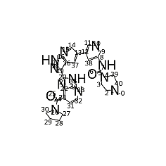 CN1CCN(C(=O)Nc2cncc(-c3cnc4[nH]nc(-c5nc6c(C(=O)N7CCCC7)ccnc6[nH]5)c4c3)c2)CC1